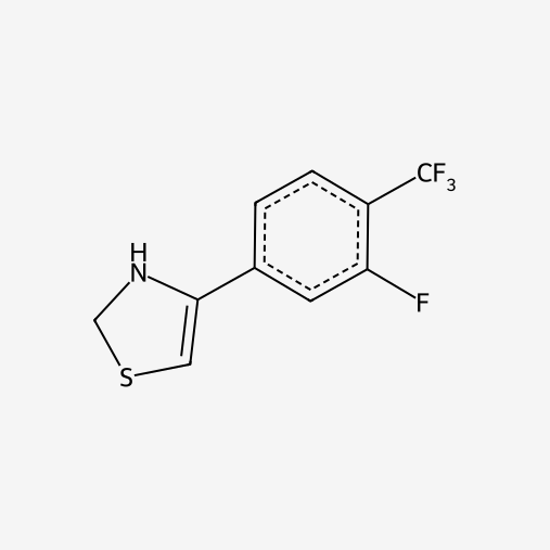 Fc1cc(C2=CSCN2)ccc1C(F)(F)F